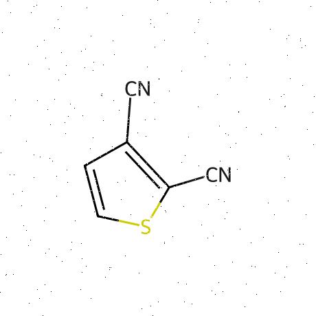 N#Cc1ccsc1C#N